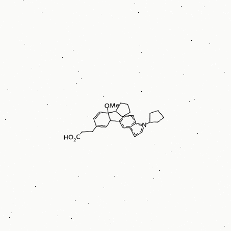 COC1(C2CCCC2)C=CC(CCC(=O)O)=CC1c1ccc2c(ccn2C2CCCC2)c1